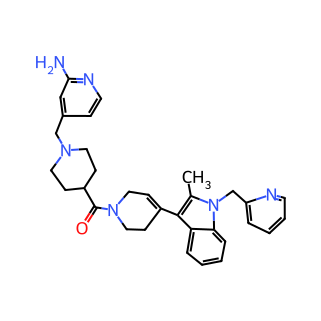 Cc1c(C2=CCN(C(=O)C3CCN(Cc4ccnc(N)c4)CC3)CC2)c2ccccc2n1Cc1ccccn1